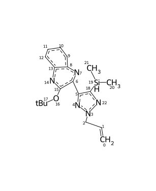 C=CCn1nc(-c2nc3ccccc3nc2OC(C)(C)C)c([SiH](C)C)n1